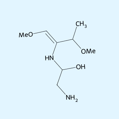 CO/C=C(\NC(O)CN)C(C)OC